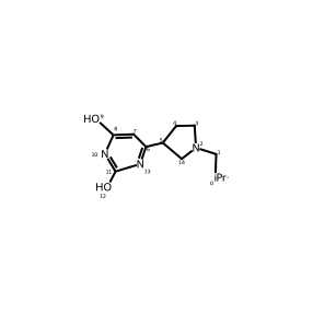 C[C](C)CN1CCC(c2cc(O)nc(O)n2)C1